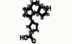 O=C(O)N1CCC(c2nnc3cnc4[nH]ccc4n23)C1